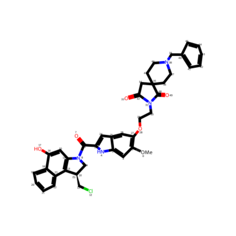 COc1cc2[nH]c(C(=O)N3C[C@@H](CCl)c4c3cc(O)c3ccccc43)cc2cc1OCCN1C(=O)CC2(CCN(Cc3ccccc3)CC2)C1=O